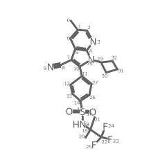 Cc1cnc2c(c1)c(C#N)c(-c1ccc(S(=O)(=O)NC(C)(C)C(F)(F)F)cc1)n2C1CCC1